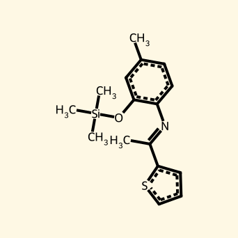 CC(=Nc1ccc(C)cc1O[Si](C)(C)C)c1cccs1